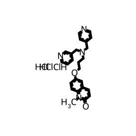 Cl.Cl.Cl.Cn1c(=O)ccc2cc(OCCCN(Cc3ccncc3)Cc3cccnc3)ccc21